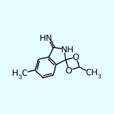 Cc1ccc2c(c1)C(=N)NC21OC(C)O1